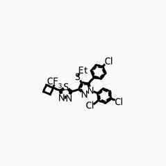 CCSc1c(-c2nnc(C3(C(F)(F)F)CCC3)s2)nn(-c2ccc(Cl)cc2Cl)c1-c1ccc(Cl)cc1